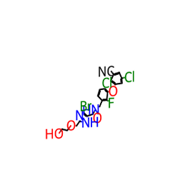 N#Cc1cc(Cl)cc(Oc2c(Cl)ccc(CNC(=O)c3[nH]c(COCCO)nc3Br)c2F)c1